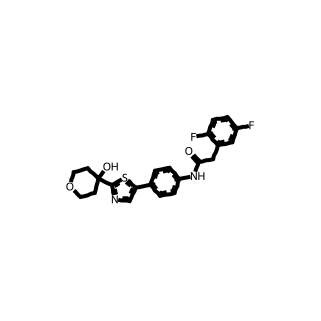 O=C(Cc1cc(F)ccc1F)Nc1ccc(-c2cnc(C3(O)CCOCC3)s2)cc1